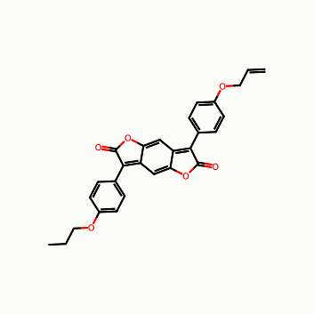 C=CCOc1ccc(C2=c3cc4c(cc3OC2=O)=C(c2ccc(OCCC)cc2)C(=O)O4)cc1